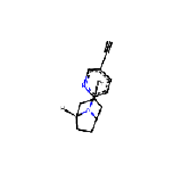 C#Cc1ccc(N2C3CC[C@@H]2C[C@@H](C(C)C)C3)nc1